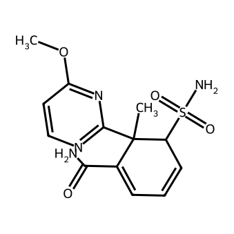 COc1ccnc(C2(C)C(C(N)=O)=CC=CC2S(N)(=O)=O)n1